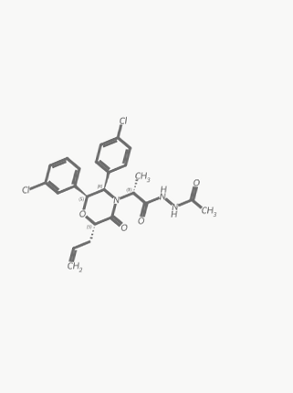 C=CC[C@@H]1O[C@@H](c2cccc(Cl)c2)[C@@H](c2ccc(Cl)cc2)N([C@H](C)C(=O)NNC(C)=O)C1=O